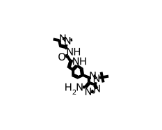 Cc1cc(NC(=O)c2cc3ccc(-c4nn(C(C)(C)C)c5ncnc(N)c45)cc3[nH]2)n(C)n1